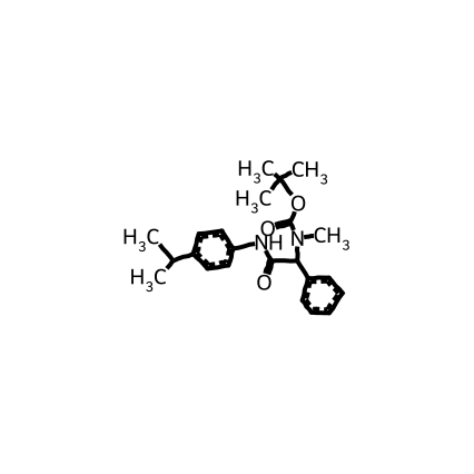 CC(C)c1ccc(NC(=O)C(c2ccccc2)N(C)C(=O)OC(C)(C)C)cc1